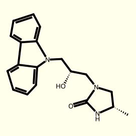 C[C@H]1CN(C[C@H](O)Cn2c3ccccc3c3ccccc32)C(=O)N1